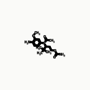 COc1cc(N(C(C)=O)C(CCOC(N)=O)C(C)(C)C)ccc1N